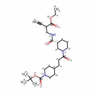 C#CC(CNC(=O)[C@@H]1CCCN(C(=O)CCC2CCN(C(=O)OC(C)(C)C)CC2)C1)C(=O)OCC